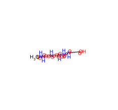 CSCC(=O)NCCNC(=O)COCCOCCNC(=O)COCCOCCNC(=O)CC[C@H](NC(=O)[C@H]1CC[C@@H](CNC(=O)CCCCCCCCCCC(=O)O)CC1)C(=O)O